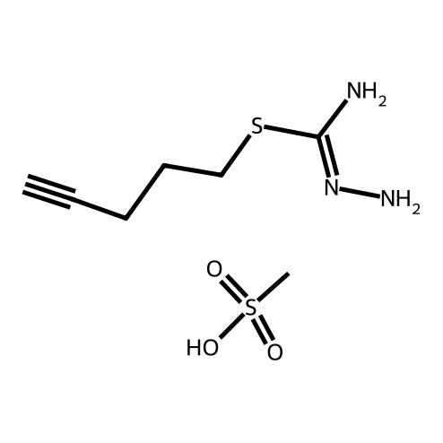 C#CCCCSC(N)=NN.CS(=O)(=O)O